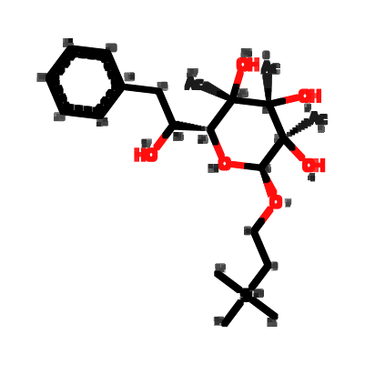 CC(=O)[C@@]1(O)[C@](O)(C(C)=O)[C@@H](OCC[Si](C)(C)C)O[C@H](C(O)Cc2ccccc2)[C@@]1(O)C(C)=O